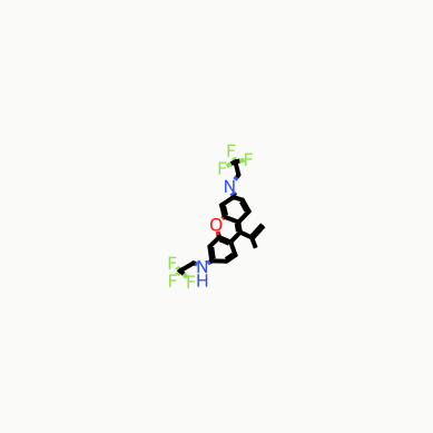 C=C(C)c1c2cc/c(=N\CC(F)(F)F)cc-2oc2cc(NCC(F)(F)F)ccc12